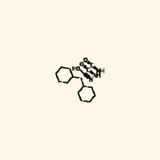 C1CCC(CC2CCCCC2)CC1.N#CO.N=C=O.N=C=O